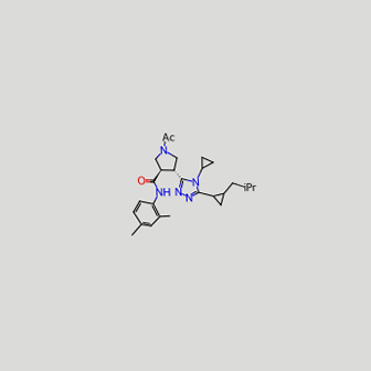 CC(=O)N1C[C@H](C(=O)Nc2ccc(C)cc2C)[C@@H](c2nnc(C3CC3CC(C)C)n2C2CC2)C1